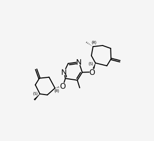 C=C1CC[C@@H](C)C[C@H](Oc2ncnc(O[C@H]3CC(=C)C[C@H](C)C3)c2C)C1